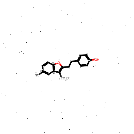 CCOC(=O)c1c(CCc2ccc(O)cc2)oc2ccc(C#N)cc12